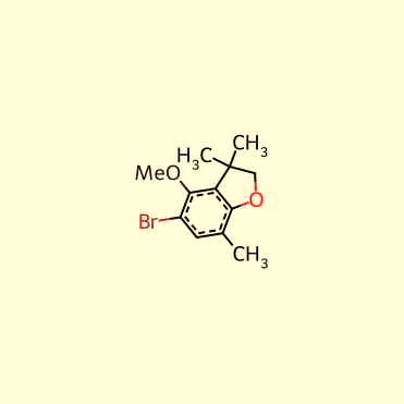 COc1c(Br)cc(C)c2c1C(C)(C)CO2